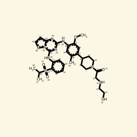 COc1cc(C2CCN(C(=O)CNCCO)CC2)c(C)cc1Nc1nc(Nc2ccccc2S(=O)(=O)C(C)C)n2nccc2n1